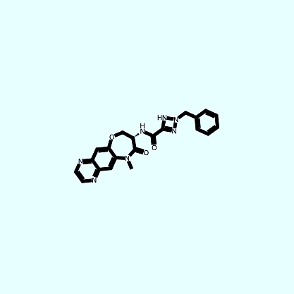 CN1C(=O)[C@@H](NC(=O)c2nn(Cc3ccccc3)[nH]2)COc2cc3nccnc3cc21